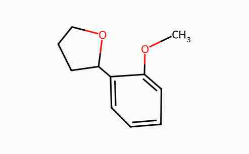 COc1ccccc1C1CCCO1